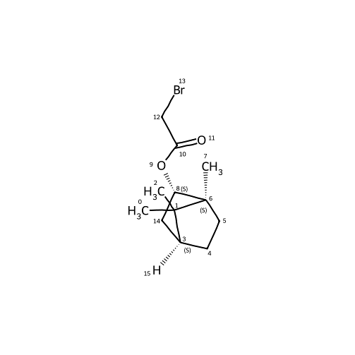 CC1(C)[C@H]2CC[C@]1(C)[C@@H](OC(=O)CBr)C2